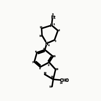 CCN1CCN(c2cccc(CC(C)(C)C=O)c2)CC1